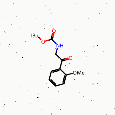 COc1ccccc1C(=O)CNC(=O)OC(C)(C)C